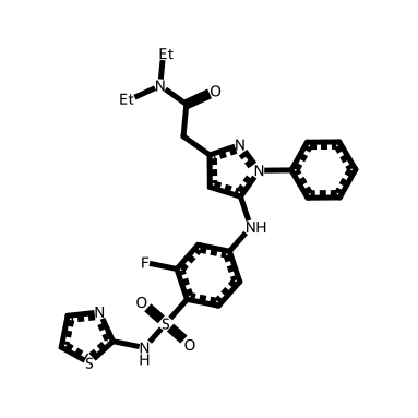 CCN(CC)C(=O)Cc1cc(Nc2ccc(S(=O)(=O)Nc3nccs3)c(F)c2)n(-c2ccccc2)n1